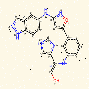 O/C=C(\Nc1cccc(-c2cc(Nc3ccc4[nH]ncc4c3)no2)c1)c1c[nH]cn1